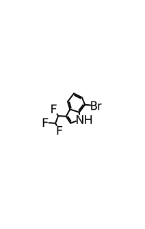 FC(F)C(F)c1c[nH]c2c(Br)cccc12